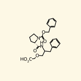 O=C(O)COCC(Cc1ccccc1)NC(=O)[C@@H]1CCCN1C(=O)OCc1ccccc1